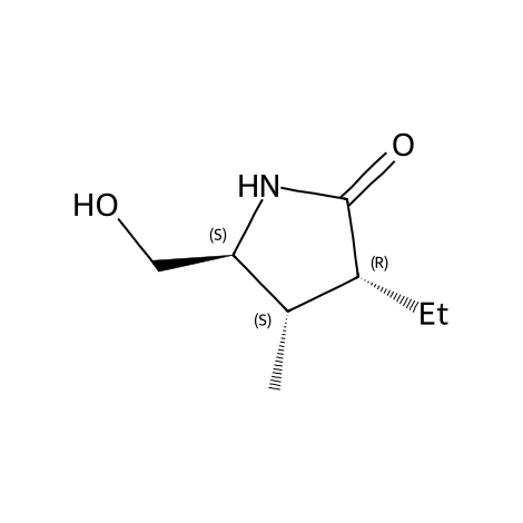 CC[C@H]1C(=O)N[C@H](CO)[C@H]1C